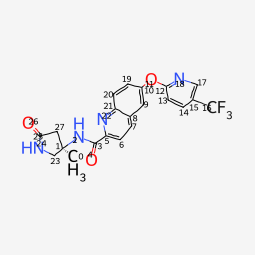 C[C@]1(NC(=O)c2ccc3cc(Oc4ccc(C(F)(F)F)cn4)ccc3n2)CNC(=O)C1